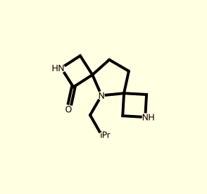 CC(C)CN1C2(CCC13CNC3=O)CNC2